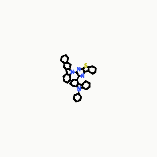 c1ccc(-n2c3ccccc3c3c(-c4nc5c(nc4-n4c6ccccc6c6cc7ccccc7cc64)sc4ccccc45)cccc32)cc1